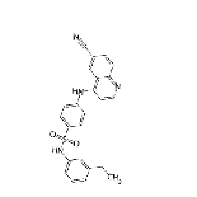 CCc1cccc(NS(=O)(=O)c2ccc(Nc3ccnc4ccc(C#N)cc34)cc2)c1